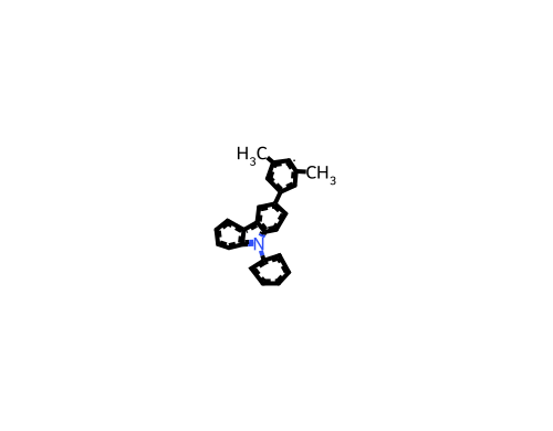 Cc1[c]c(C)cc(-c2ccc3c(c2)c2ccccc2n3-c2ccccc2)c1